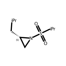 CC(C)C[C@H]1CN1S(=O)(=O)C(C)C